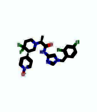 C[C@@H](C(=O)Nc1cn(Cc2ccc(Cl)cc2F)cn1)N1CCC(F)(F)[C@@H](c2cc[n+]([O-])cc2)C1